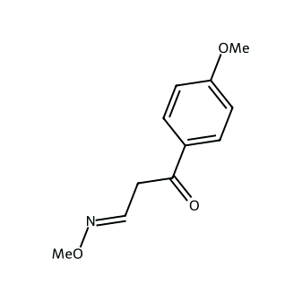 CON=CCC(=O)c1ccc(OC)cc1